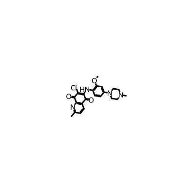 COc1cc(N2CCN(C)CC2)ccc1NC1=C(Cl)C(=O)c2nc(C)ccc2C1=O